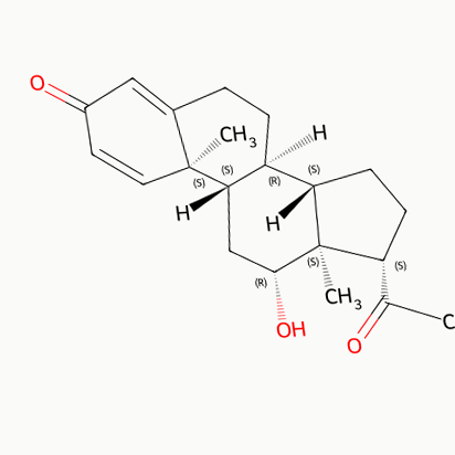 CC(=O)[C@H]1CC[C@H]2[C@@H]3CCC4=CC(=O)C=C[C@]4(C)[C@H]3C[C@@H](O)[C@]12C